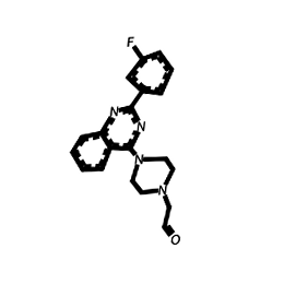 O=CCN1CCN(c2nc(-c3cccc(F)c3)nc3ccccc23)CC1